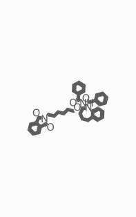 O=C(NC1(OCCCCCCN2C(=O)c3ccccc3C2=O)CCCc2ccccc2N1C(=O)c1ccccc1)c1ccccc1